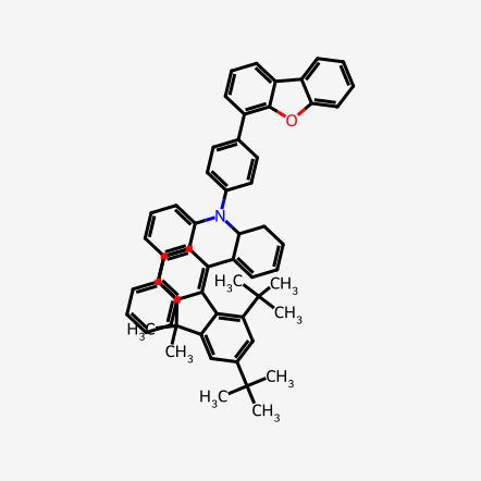 CC(C)(C)c1cc(C(C)(C)C)c2c(c1)C(C)(C)c1cccc(C3=CC=CCC3N(c3ccc(-c4cccc5c4oc4ccccc45)cc3)c3cccc(-c4ccccc4)c3)c1-2